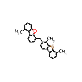 Cc1cccc2c1sc1c(C)c(Cc3cccc4c3oc3cccc(C)c34)ccc12